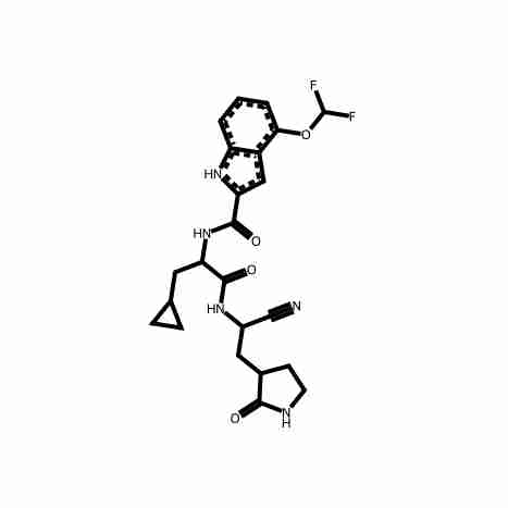 N#CC(CC1CCNC1=O)NC(=O)C(CC1CC1)NC(=O)c1cc2c(OC(F)F)cccc2[nH]1